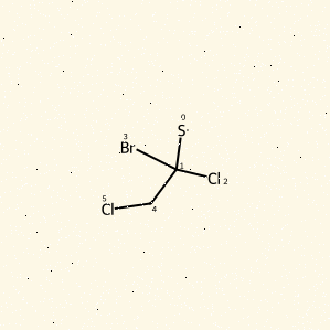 [S]C(Cl)(Br)CCl